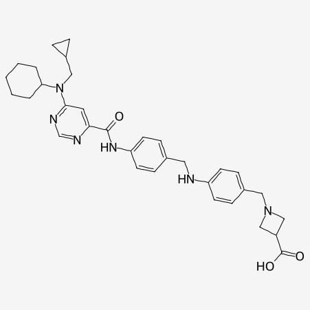 O=C(Nc1ccc(CNc2ccc(CN3CC(C(=O)O)C3)cc2)cc1)c1cc(N(CC2CC2)C2CCCCC2)ncn1